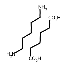 NCCCCCN.O=C(O)CCCCC(=O)O